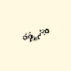 CN(CCCc1nc2ccccc2[nH]1)CC[C@]1(O)C[C@H]2CC[C@@H]1C[C@]21OCc2ccccc21